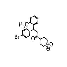 Cc1ccccc1C(CC(=O)C1CCS(=O)(=O)CC1)c1ccc(Br)cc1